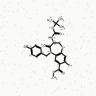 COC(=O)c1cc2c(cc1F)SC[C@H](NC(=O)OC(C)(C)C)C(=O)N2Cc1ccc(Cl)cc1